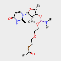 C=C1NC(=O)C=CN1[C@@H]1O[C@H](CC)C(OP(OCCOCCSC(=O)C(C)C)N(C(C)C)C(C)C)[C@@H]1OC